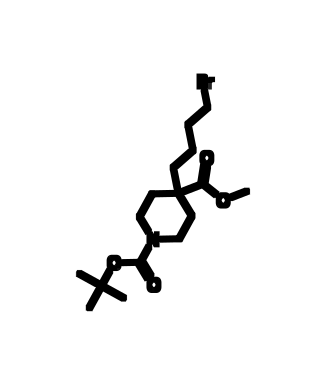 COC(=O)C1(CCCCBr)CCN(C(=O)OC(C)(C)C)CC1